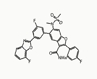 CNC(=O)c1c(-c2ccc(F)cc2)oc2cc(N(C)S(C)(=O)=O)c(-c3cc(F)cc(-c4nc5cccc(F)c5o4)c3)cc12